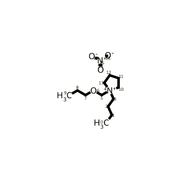 CCCC[N+]1(COCCC)CCCC1.O=[N+]([O-])[O-]